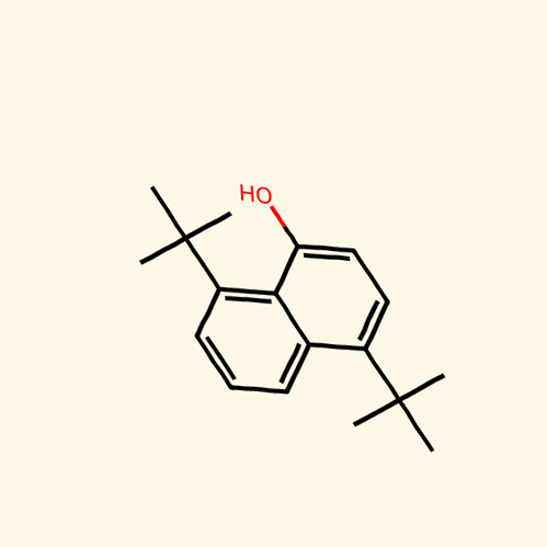 CC(C)(C)c1ccc(O)c2c(C(C)(C)C)cccc12